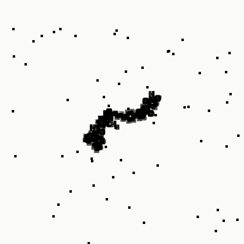 Cc1cc(NC(=O)Nc2cnc3ccnn3c2C2CCCO2)cnc1-c1noc(CCCCN2CCN(c3ccc4c(c3)CN(C3CCC(=O)NC3=O)C4=O)CC2)n1